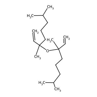 C=CC(C)(CCCC(C)C)OC(C)(C=C)CCCC(C)C